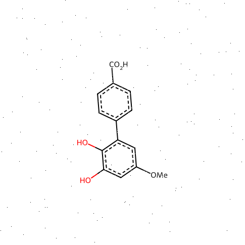 COc1cc(O)c(O)c(-c2ccc(C(=O)O)cc2)c1